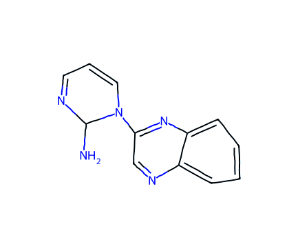 NC1N=CC=CN1c1cnc2ccccc2n1